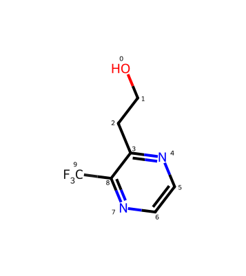 OCCc1nccnc1C(F)(F)F